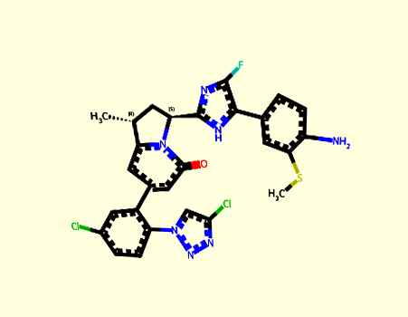 CSc1cc(-c2[nH]c([C@@H]3C[C@@H](C)c4cc(-c5cc(Cl)ccc5-n5cc(Cl)nn5)cc(=O)n43)nc2F)ccc1N